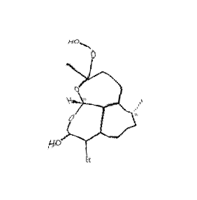 CCC1C(O)O[C@@H]2OC(C)(OO)CCC3C2C1CC[C@H]3C